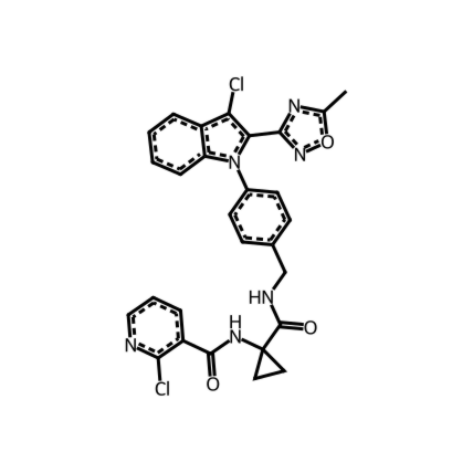 Cc1nc(-c2c(Cl)c3ccccc3n2-c2ccc(CNC(=O)C3(NC(=O)c4cccnc4Cl)CC3)cc2)no1